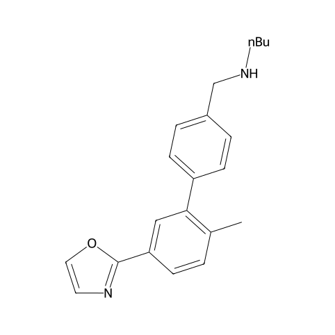 CCCCNCc1ccc(-c2cc(-c3ncco3)ccc2C)cc1